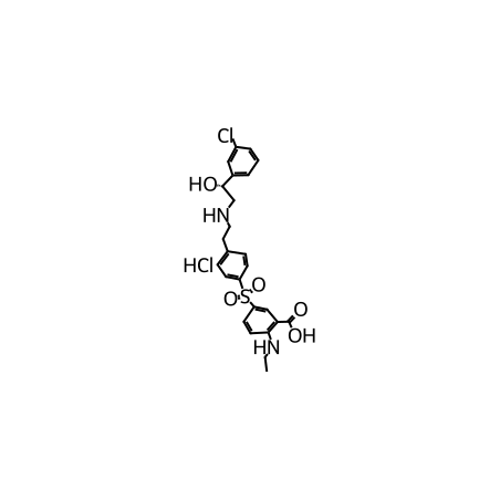 CCNc1ccc(S(=O)(=O)c2ccc(CCNC[C@H](O)c3cccc(Cl)c3)cc2)cc1C(=O)O.Cl